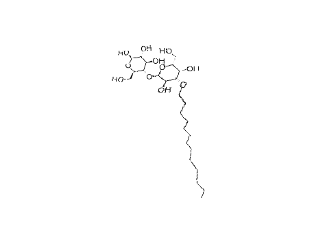 CCCCCCCCCCCCCO[C@@H]1[C@@H](O)[C@@H](O[C@H]2[C@H](O)[C@@H](O)[C@H](O)O[C@@H]2CO)O[C@H](CO)[C@H]1O